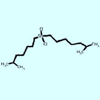 CC(C)CCCC[CH2][Sn]([Cl])([Cl])[CH2]CCCCC(C)C